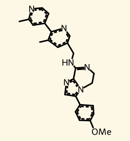 COc1ccc(-c2cnc3n2CCN=C3NCc2cnc(-c3ccnc(C)c3)c(C)c2)cc1